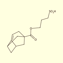 O=C(OCCCS(=O)(=O)O)C12CC=C3C(CC3C1)C2